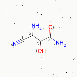 N#CC(N)C(O)C(N)=O